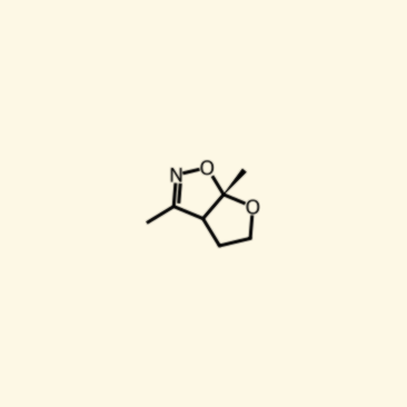 CC1=NO[C@]2(C)OCCC12